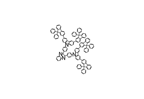 c1ccc(C2(c3ccccc3)c3ccccc3-c3ccc(-c4ccc5c(c4)c4cc(-c6ccc7c(c6)C(c6ccccc6)(c6ccccc6)c6ccccc6-7)ccc4n5-c4ccc(-c5nc6ccccc6nc5-c5ccc(-n6c7ccc(-c8ccc9c(c8)C(c8ccccc8)(c8ccccc8)c8ccccc8-9)cc7c7cc(-c8ccc9c(c8)C(c8ccccc8)(c8ccccc8)c8ccccc8-9)ccc76)cc5)cc4)cc32)cc1